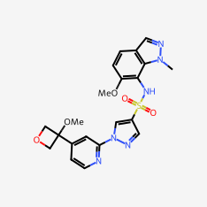 COc1ccc2cnn(C)c2c1NS(=O)(=O)c1cnn(-c2cc(C3(OC)COC3)ccn2)c1